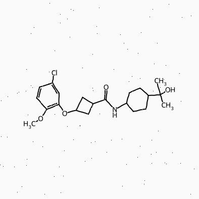 COc1ccc(Cl)cc1OC1CC(C(=O)NC2CCC(C(C)(C)O)CC2)C1